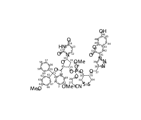 COc1ccc(C(OC[C@H]2OC(n3ccc(=O)[nH]c3=O)[C@H](OC)[C@@H]2OP(=O)(OCCC#N)O[C@@H]2CSSC[C@H]2OCc2cn(-c3cc4ccc(O)cc4oc3=O)nn2)(c2ccccc2)c2ccc(OC)cc2)cc1